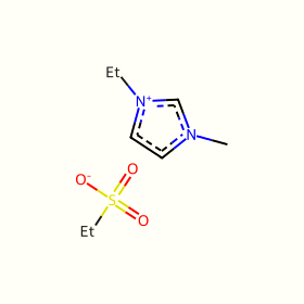 CCS(=O)(=O)[O-].CC[n+]1ccn(C)c1